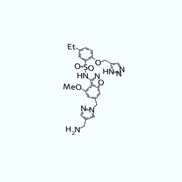 CCc1ccc(OCc2cnn[nH]2)c(S(=O)(=O)Nc2noc3cc(Cn4cc(CN)cn4)cc(OC)c23)c1